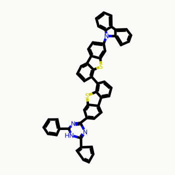 c1ccc(C2=NC(c3ccc4c(c3)sc3c(-c5cccc6c5sc5cc(-n7c8ccccc8c8ccccc87)ccc56)cccc34)=NC(c3ccccc3)N2)cc1